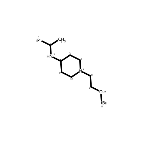 CC(C)C(C)NC1CCN(CCOC(C)(C)C)CC1